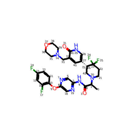 CC(C(=O)Nc1cnc(Oc2ccc(F)cc2F)cn1)N1CCC(F)(F)[C@@H](c2c[nH]c(=O)c(CN3CCOCC3)c2)C1